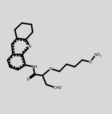 O=CCC(OCCCCO[N+](=O)[O-])C(=O)Nc1cccc2cc3c(nc12)CCCC3